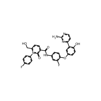 Nc1nccc(-c2cc(Oc3ccc(NC(=O)c4ccc(CO)n(-c5ccc(F)cc5)c4=O)cc3F)ccc2O)n1